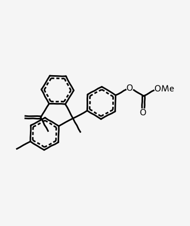 C=C(C)c1ccccc1C(C)(c1ccc(C)cc1)c1ccc(OC(=O)OC)cc1